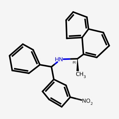 C[C@@H](NC(c1ccccc1)c1cccc([N+](=O)[O-])c1)c1cccc2ccccc12